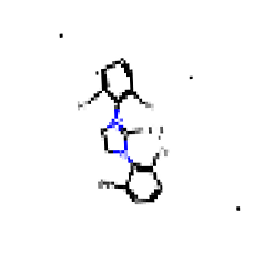 CC(C)c1cccc(C(C)C)c1N1CC[N+](c2c(C(C)C)cccc2C(C)C)=C1C(=O)O